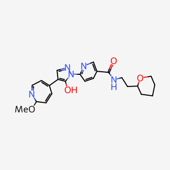 COC1C=CC(c2cnn(-c3ccc(C(=O)NCCC4CCCCO4)cn3)c2O)=CC=N1